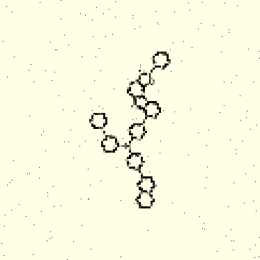 c1ccc(-c2cccc(N(c3ccc(-c4ccc5ccccc5c4)cc3)c3ccc(-c4cccc5c4oc4ccc6nc(-c7ccccc7)oc6c45)cc3)c2)cc1